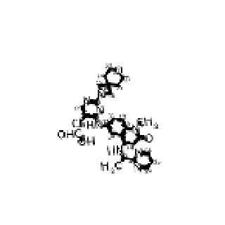 CC(Nc1cc(=O)n(C)c2ccc(Nc3nc(N4CC5(CCOCC5)C4)ncc3Cl)cc12)c1ncccn1.O=CO